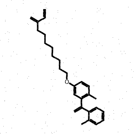 C=CC(=C)CCCCCCCCOc1ccc(C)c(C(=C)c2ccccc2C)c1